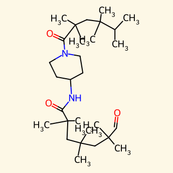 CC(C)C(C)(C)CC(C)(C)C(=O)N1CCC(NC(=O)C(C)(C)CC(C)(C)CC(C)(C)C=O)CC1